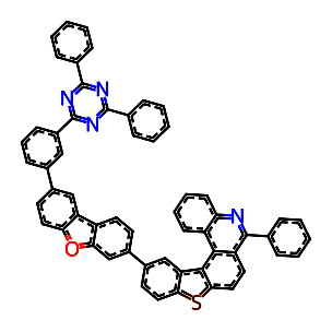 c1ccc(-c2nc(-c3ccccc3)nc(-c3cccc(-c4ccc5oc6cc(-c7ccc8sc9ccc%10c(-c%11ccccc%11)nc%11ccccc%11c%10c9c8c7)ccc6c5c4)c3)n2)cc1